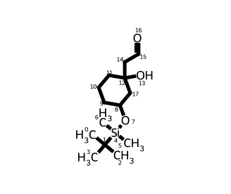 CC(C)(C)[Si](C)(C)OC1CCCC(O)(CC=O)C1